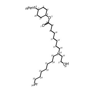 CCCCCC1CCC(OC(=O)CCCCCCCN(CCO)CCCCCCCC(C)C)CC1